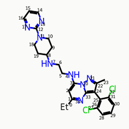 CCc1cc(NCCNC2CCN(c3ncccn3)CC2)n2nc(C)c(-c3c(Cl)cccc3Cl)c2n1